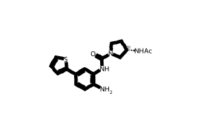 CC(=O)N[C@H]1CCN(C(=O)Nc2cc(-c3cccs3)ccc2N)C1